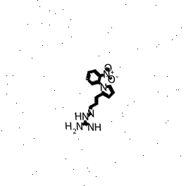 N=C(N)NN=CC=Cc1cccn1-c1ccccc1[N+](=O)[O-]